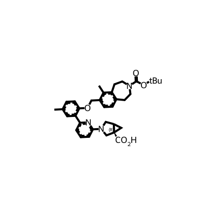 Cc1ccc(OCc2ccc3c(c2C)CCN(C(=O)OC(C)(C)C)CC3)c(-c2cccc(N3CC4C[C@]4(C(=O)O)C3)n2)c1